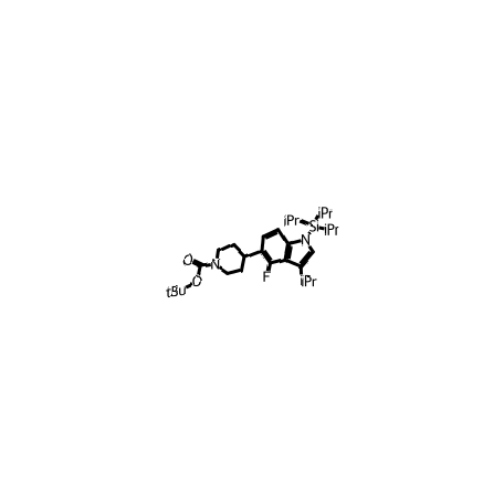 CC(C)c1cn([Si](C(C)C)(C(C)C)C(C)C)c2ccc(C3CCN(C(=O)OC(C)(C)C)CC3)c(F)c12